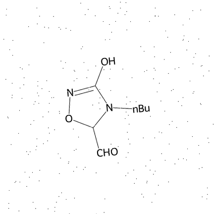 CCCCN1C(O)=NOC1C=O